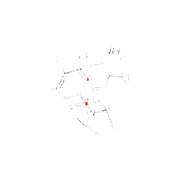 Nc1c(Cl)cc(C(=O)N2C3CCC2CC(c2ccc(F)cc2)C3)cc1Cl